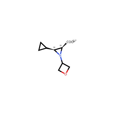 O=C([O-])[C@@H]1[C@H](C2CC2)N1C1COC1.[Li+]